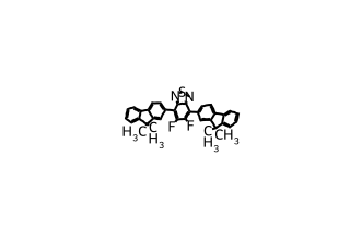 CC1(C)c2ccccc2-c2ccc(-c3c(F)c(F)c(-c4ccc5c(c4)C(C)(C)c4ccccc4-5)c4nsnc34)cc21